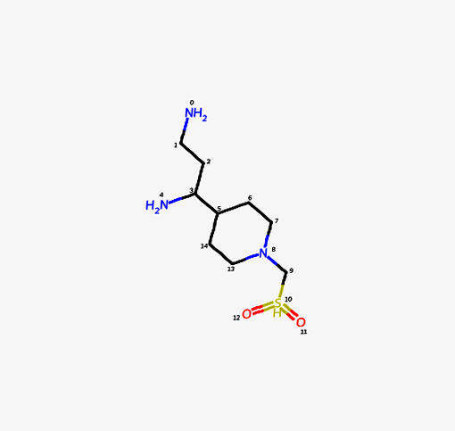 NCCC(N)C1CCN(C[SH](=O)=O)CC1